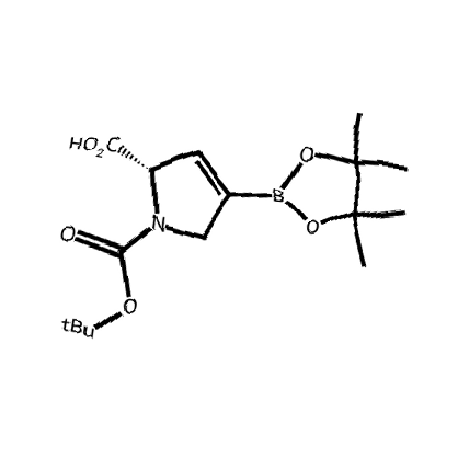 CC(C)(C)OC(=O)N1CC(B2OC(C)(C)C(C)(C)O2)=C[C@H]1C(=O)O